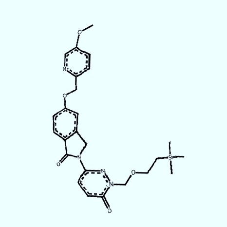 COc1ccc(COc2ccc3c(c2)CN(c2ccc(=O)n(COCC[Si](C)(C)C)n2)C3=O)nc1